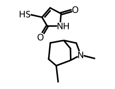 CC1CCC2CC1N(C)C2.O=C1C=C(S)C(=O)N1